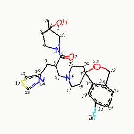 CC1(O)CCN(C(=O)C(Cc2cscn2)CN2CCC3(CC2)OCc2ccc(F)cc23)C1